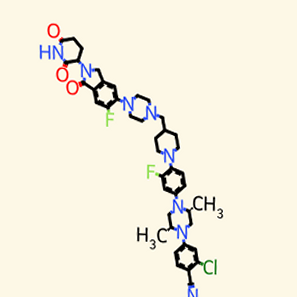 C[C@@H]1CN(c2ccc(C#N)c(Cl)c2)[C@@H](C)CN1c1ccc(N2CCC(CN3CCN(c4cc5c(cc4F)C(=O)N(C4CCC(=O)NC4=O)C5)CC3)CC2)c(F)c1